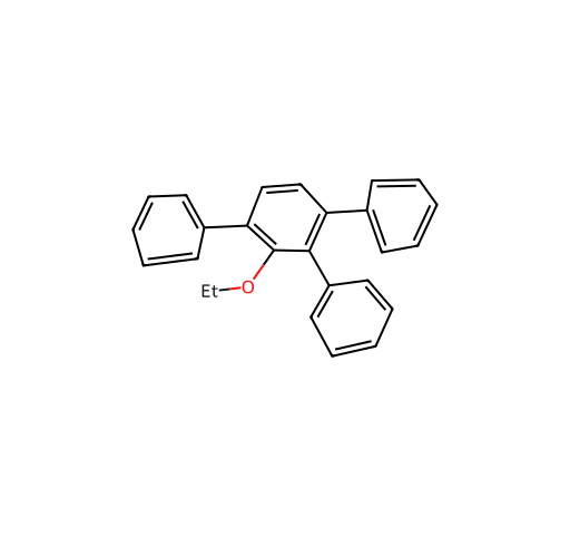 CCOc1c(-c2ccccc2)ccc(-c2ccccc2)c1-c1ccccc1